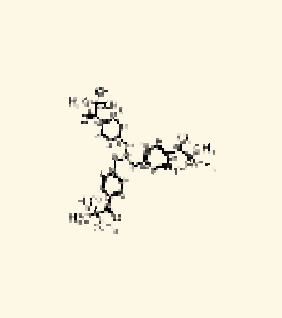 CC(C)(C)C(=O)c1ccc(CN(Cc2ccc(C(=O)C(C)(C)C)cc2)Cc2ccc(C(=O)C(C)(C)C)cc2)cc1